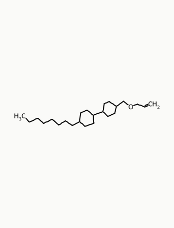 C=CCOCC1CCC(C2CCC(CCCCCCCC)CC2)CC1